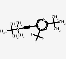 CC(C)(C)c1cc(C(F)(F)F)c(C#CS(C)(C)C(C)(C)C)cn1